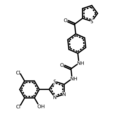 O=C(Nc1ccc(C(=O)c2cccs2)cc1)Nc1nnc(-c2cc(Cl)cc(Cl)c2O)s1